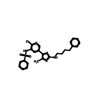 Cc1nc(NCCCCc2ccccc2)sc1-c1cnc(Cl)c(NS(=O)(=O)c2ccccc2)c1